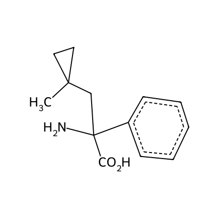 CC1(CC(N)(C(=O)O)c2ccccc2)CC1